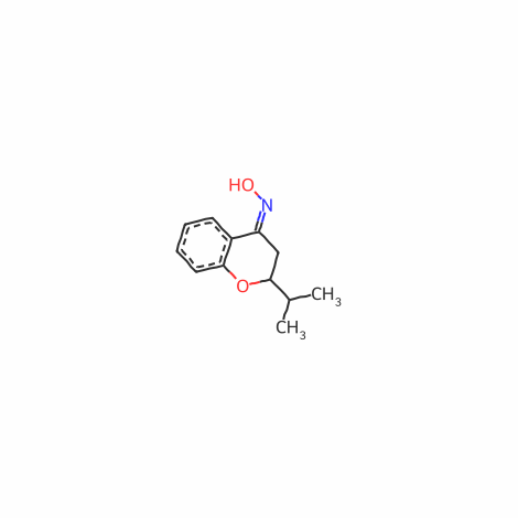 CC(C)C1C/C(=N/O)c2ccccc2O1